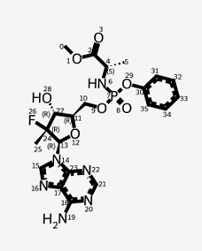 COC(=O)[C@H](C)NP(=O)(OC[C@H]1O[C@@H](n2cnc3c(N)ncnc32)[C@](C)(F)[C@@H]1O)Oc1ccccc1